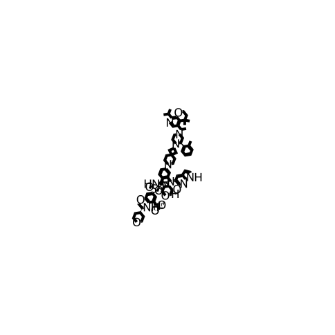 Cc1ccccc1[C@@H]1CN(C(C)c2cnc(C(C)C)c3c2C(C)(C)CCO3)CCN1C1CC2(CCN(c3ccc(C(=O)NS(=O)(=O)c4cc5c(c([N+](=O)[O-])c4)N[C@H](C4CCOCC4)CO5)c(N4c5cc6cc[nH]c6nc5O[C@H]5COCC[C@@H]54)c3)CC2)C1